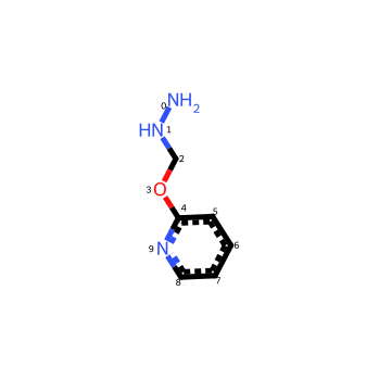 NNCOc1ccccn1